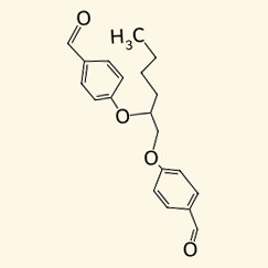 CCCCC(COc1ccc(C=O)cc1)Oc1ccc(C=O)cc1